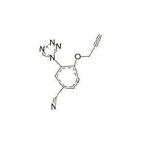 C#CCOc1ccc(C#N)cc1-n1cnnn1